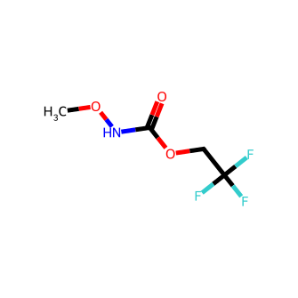 CONC(=O)OCC(F)(F)F